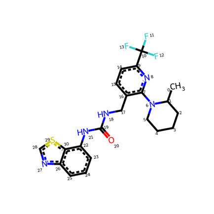 CC1CCCCN1c1nc(C(F)(F)F)ccc1CNC(=O)Nc1cccc2ncsc12